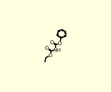 CCOC(=O)NC(=O)Oc1ccccc1